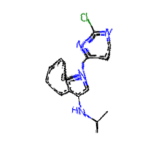 CC(C)Nc1cn(-c2ccnc(Cl)n2)c2ccccc12